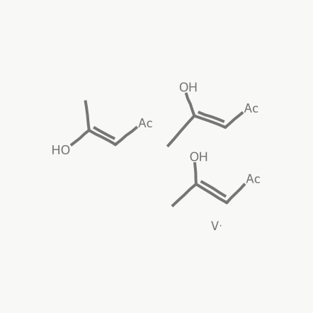 CC(=O)/C=C(/C)O.CC(=O)/C=C(/C)O.CC(=O)/C=C(\C)O.[V]